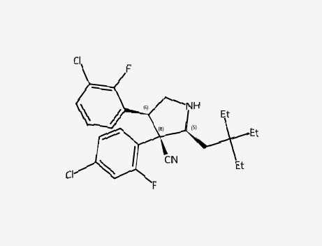 CCC(CC)(CC)C[C@@H]1NC[C@H](c2cccc(Cl)c2F)[C@@]1(C#N)c1ccc(Cl)cc1F